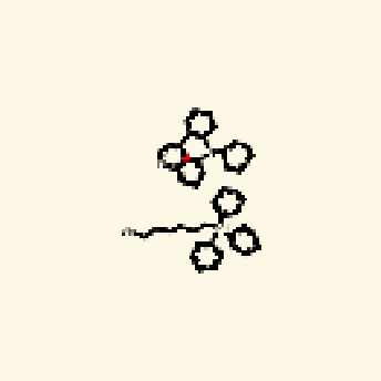 BrCCCCCC[PH](c1ccccc1)(c1ccccc1)c1ccccc1.c1ccc(N(c2ccccc2)c2ccccc2-c2ccncc2)cc1